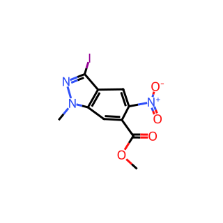 COC(=O)c1cc2c(cc1[N+](=O)[O-])c(I)nn2C